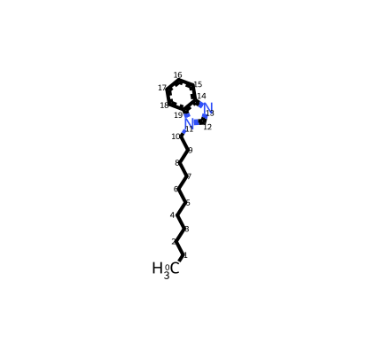 CCCCCCCCCCCn1cnc2ccccc21